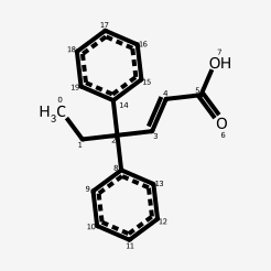 CCC(C=CC(=O)O)(c1ccccc1)c1ccccc1